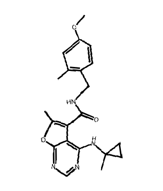 COc1ccc(CNC(=O)c2c(C)oc3ncnc(NC4(C)CC4)c23)c(C)c1